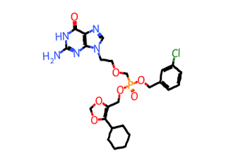 Nc1nc2c(ncn2CCOCP(=O)(OCC2=C(C3CCCCC3)OCO2)OCc2cccc(Cl)c2)c(=O)[nH]1